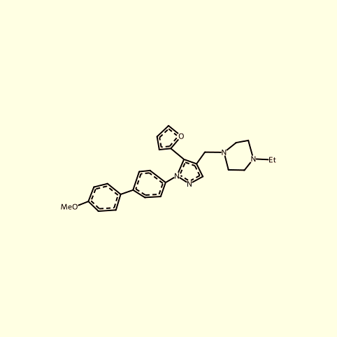 CCN1CCN(Cc2cnn(-c3ccc(-c4ccc(OC)cc4)cc3)c2-c2ccco2)CC1